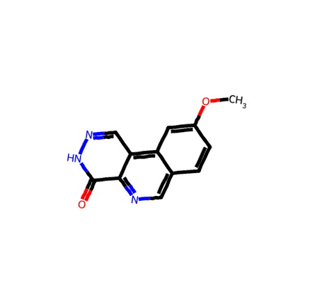 COc1ccc2cnc3c(=O)[nH]ncc3c2c1